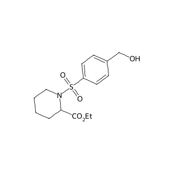 CCOC(=O)C1CCCCN1S(=O)(=O)c1ccc(CO)cc1